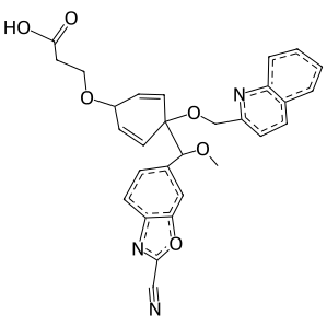 COC(c1ccc2nc(C#N)oc2c1)C1(OCc2ccc3ccccc3n2)C=CC(OCCC(=O)O)C=C1